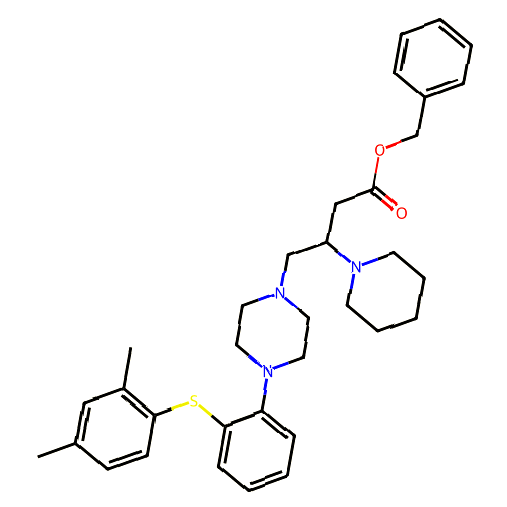 Cc1ccc(Sc2ccccc2N2CCN(CC(CC(=O)OCc3ccccc3)N3CCCCC3)CC2)c(C)c1